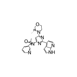 C[C@@H]1COCCN1c1cc(N=S(C)(=O)c2cccnc2)nc(-c2ccnc3[nH]ccc23)n1